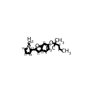 CCCC(C)(C)Oc1ccc2cc(-c3cccn3C)oc2c1